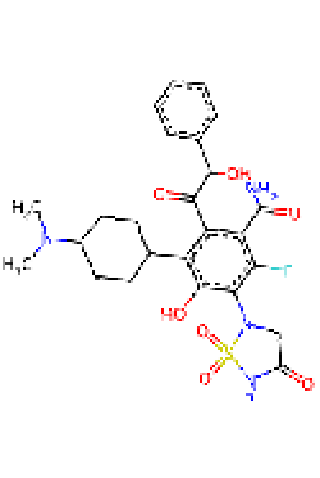 CN(C)C1CCC(c2c(O)c(N3CC(=O)NS3(=O)=O)c(F)c(C(N)=O)c2C(=O)C(O)c2ccccc2)CC1